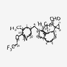 Cc1cc(Cn2nc3ccnc(C4(NC=O)CC4)c3c2C)cnc1OCC(F)(F)F